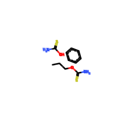 CCCOC(N)=S.NC(O)=S.c1ccccc1